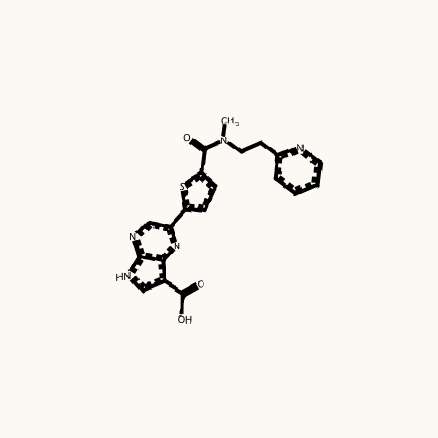 CN(CCc1ccccn1)C(=O)c1ccc(-c2cnc3[nH]cc(C(=O)O)c3n2)s1